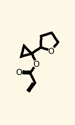 C=CC(=O)OC1(C2CCCO2)CC1